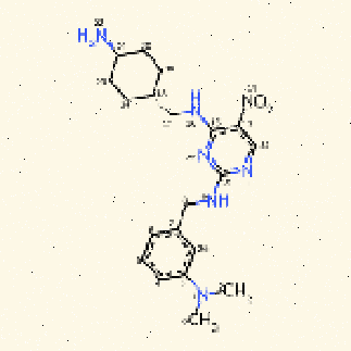 CN(C)c1cccc(CNc2ncc([N+](=O)[O-])c(NC[C@H]3CC[C@H](N)CC3)n2)c1